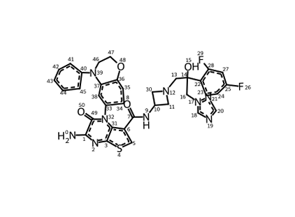 Nc1nc2scc(C(=O)NC3CN(CC(O)(Cn4cncn4)c4ccc(F)cc4F)C3)c2n(-c2ccc3c(c2)N(c2ccccc2)CCO3)c1=O